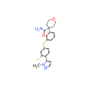 Cn1nccc1-c1ccc(Sc2cccc(C3(C(N)=O)CCOCC3)c2)cc1F